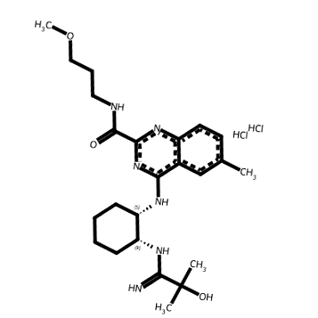 COCCCNC(=O)c1nc(N[C@H]2CCCC[C@H]2NC(=N)C(C)(C)O)c2cc(C)ccc2n1.Cl.Cl